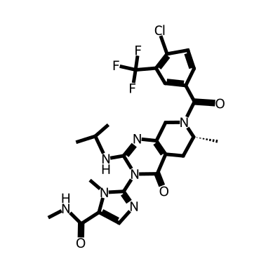 CNC(=O)c1cnc(-n2c(NC(C)C)nc3c(c2=O)C[C@@H](C)N(C(=O)c2ccc(Cl)c(C(F)(F)F)c2)C3)n1C